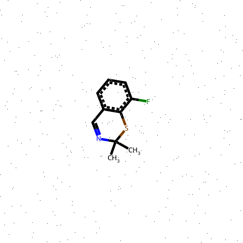 CC1(C)N=Cc2cccc(F)c2S1